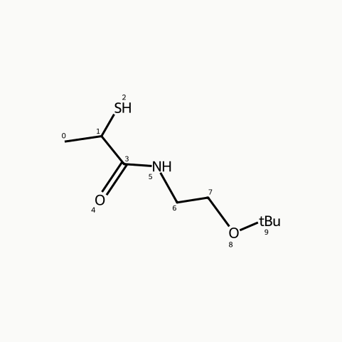 CC(S)C(=O)NCCOC(C)(C)C